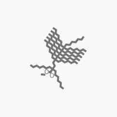 CCCCCCCC(CCCCCCC)(CCC(CCCCCCC)(CCCCCCC)C(CCCCCCC)(CCCCCCC)C(CCCCCCC)(CCCCCCC)C(CCCCCCC)(CCCCCCC)C(CCCCCCC)(CCCCCCC)CCCCCCC)C(=O)OCC